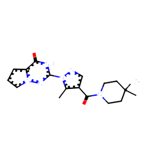 Cc1c(C(=O)N2CCC(C)(C#N)CC2)cnn1-c1nn2cccc2c(=O)[nH]1